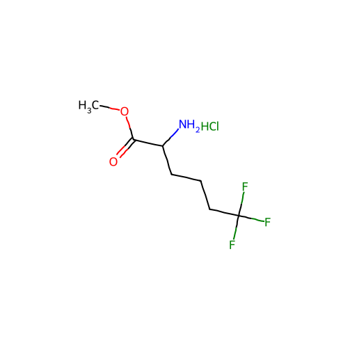 COC(=O)C(N)CCCC(F)(F)F.Cl